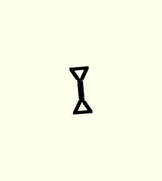 C1CS1=S1CC1